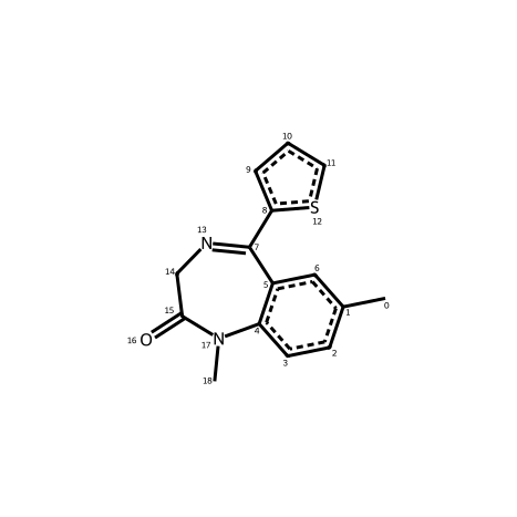 Cc1ccc2c(c1)C(c1cccs1)=NCC(=O)N2C